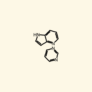 c1cnc2cc[nH]c2c1.c1cncnc1